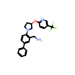 NCc1cc(-c2ccccc2)ccc1N1CC[C@@H](Oc2ccc(C(F)(F)F)cn2)C1